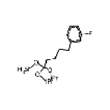 CC(C)OC(CCCCc1cccc(F)c1)(O[SiH3])OC(C)C